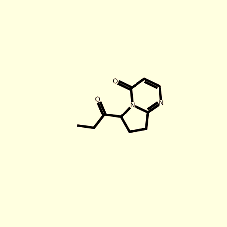 CCC(=O)C1CCc2nccc(=O)n21